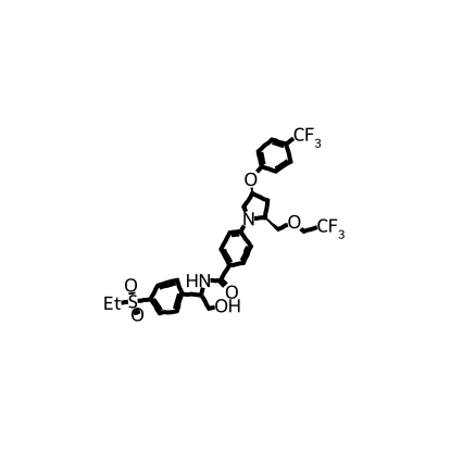 CCS(=O)(=O)c1ccc(C(CO)NC(=O)c2ccc(N3C[C@H](Oc4ccc(C(F)(F)F)cc4)C[C@H]3COCC(F)(F)F)cc2)cc1